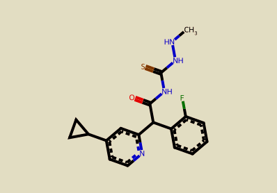 CNNC(=S)NC(=O)C(c1cc(C2CC2)ccn1)c1ccccc1F